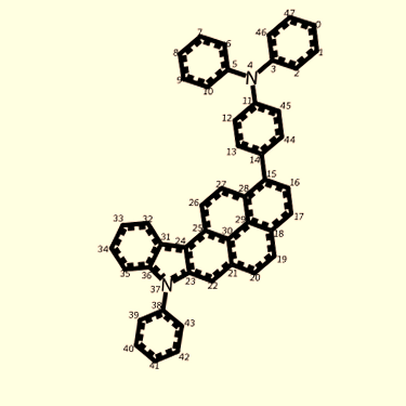 c1ccc(N(c2ccccc2)c2ccc(-c3ccc4ccc5cc6c(c7ccc3c4c57)c3ccccc3n6-c3ccccc3)cc2)cc1